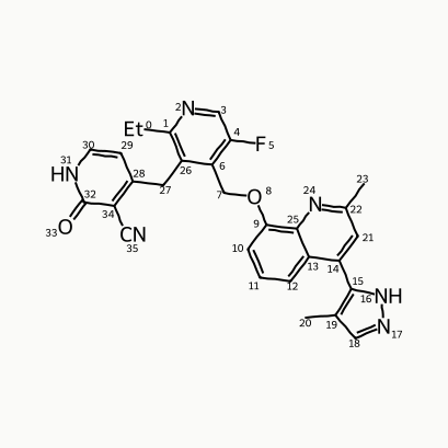 CCc1ncc(F)c(COc2cccc3c(-c4[nH]ncc4C)cc(C)nc23)c1Cc1cc[nH]c(=O)c1C#N